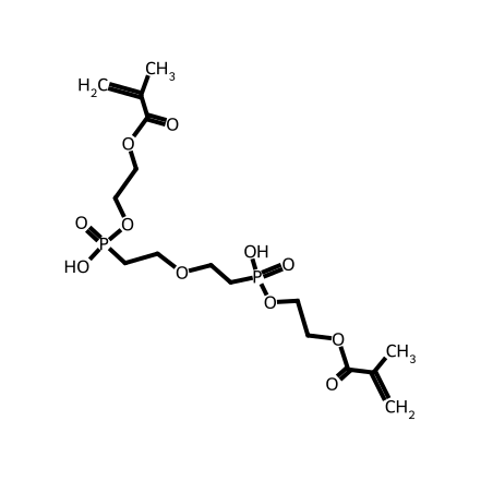 C=C(C)C(=O)OCCOP(=O)(O)CCOCCP(=O)(O)OCCOC(=O)C(=C)C